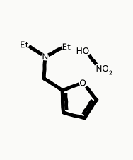 CCN(CC)Cc1ccco1.O=[N+]([O-])O